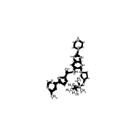 Cc1cc(-c2ccc(C(=O)Nc3cc4sc(N5CCOCC5)nc4nc3N3CCC(O[Si](C)(C)C(C)(C)C)C3)o2)ccn1